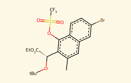 CCOC(=O)[C@@H](OC(C)(C)C)c1c(C)cc2cc(Br)ccc2c1OS(=O)(=O)C(F)(F)F